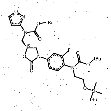 CC(C)(C)OC(=O)N(C[C@H]1CN(c2ccc(N(CCO[Si](C)(C)C(C)(C)C)C(=O)OC(C)(C)C)c(F)c2)C(=O)O1)c1ccon1